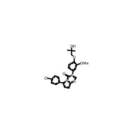 COc1cc(-n2cnc3ccc(-c4ccc(Cl)cc4)n3c2=O)ccc1OCC(C)(C)O